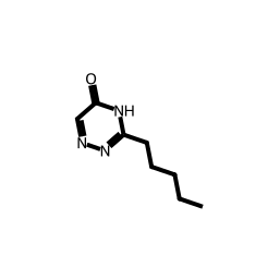 CCCCCc1nncc(=O)[nH]1